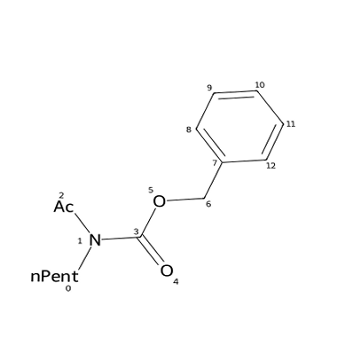 [CH2]CCCCN(C(C)=O)C(=O)OCc1ccccc1